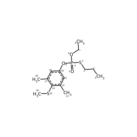 CCCSP(=O)(OCC)Oc1cc(C)c(SC)c(C)c1